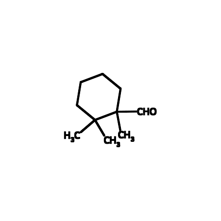 CC1(C)CCCCC1(C)C=O